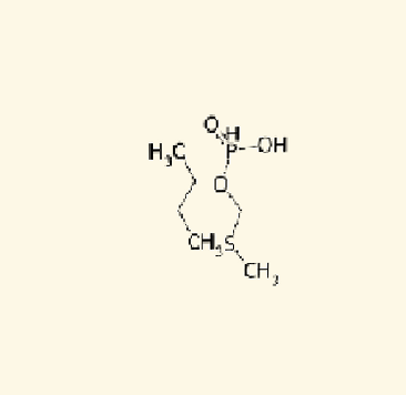 CCCC.CSCO[PH](=O)O